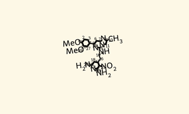 COc1ccc(-c2cc3nc(C)cn3c(NCCc3cc(N)nc(N)c3[N+](=O)[O-])n2)cc1OC